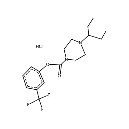 CCC(CC)N1CCN(C(=O)Oc2cccc(C(F)(F)F)c2)CC1.Cl